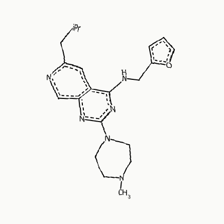 CC(C)Cc1cc2c(NCc3ccco3)nc(N3CCN(C)CC3)nc2cn1